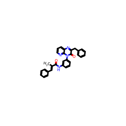 CC(=Cc1ccccc1)C(=O)Nc1cccc(-n2c(=O)c(Cc3ccccc3)nc3cccnc32)c1